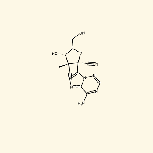 C[C@@]1(C#N)[C@H](O)[C@@H](CO)O[C@@]1(C#N)c1cnc2c(N)ncnn12